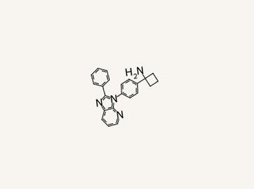 NC1(c2ccc(-n3c(-c4ccccc4)nc4cccnc43)cc2)CCC1